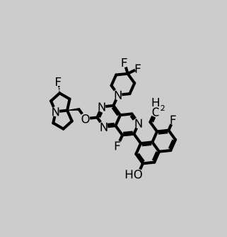 C=Cc1c(F)ccc2cc(O)cc(-c3ncc4c(N5CCC(F)(F)CC5)nc(OC[C@@]56CCCN5C[C@H](F)C6)nc4c3F)c12